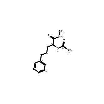 CNC(=O)C(CCCc1cccnc1)OC(N)=O